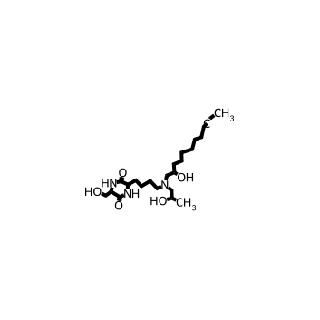 CCCCCCCCCCC(O)CN(CCCCC1NC(=O)C(CO)NC1=O)CC(C)O